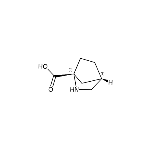 O=C(O)[C@]12CC[C@H](CN1)C2